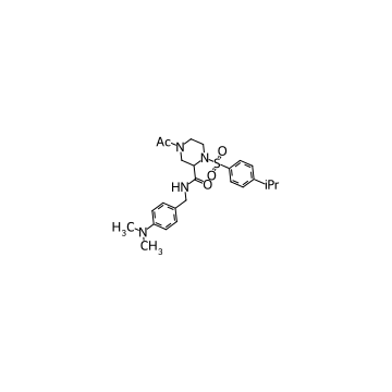 CC(=O)N1CCN(S(=O)(=O)c2ccc(C(C)C)cc2)C(C(=O)NCc2ccc(N(C)C)cc2)C1